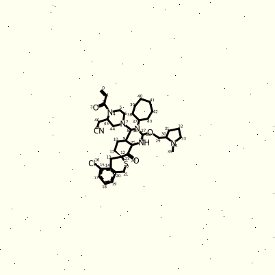 C=CC(=O)N1CCN(C2C3CC[C@@]4(Cc5c(Cl)cccc5CS4)C(=O)C3NC(OCC3CCCN3C)N2C2CCCCCC2)CC1CC#N